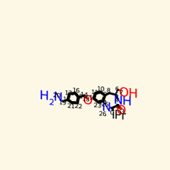 CC(C)C1C(=O)N[C@H](CO)Cc2ccc(OCc3ccc(CN)cc3)cc2N1C